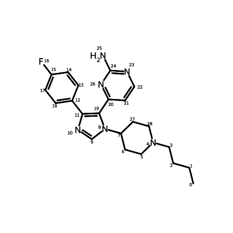 CCCCN1CCC(n2cnc(-c3ccc(F)cc3)c2-c2ccnc(N)n2)CC1